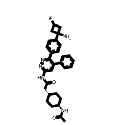 CC(=O)N[C@H]1CC[C@H](CC(=O)Nc2cc(-c3ccccc3)c(-c3ccc(C4(N)CC(F)C4)cc3)nn2)CC1